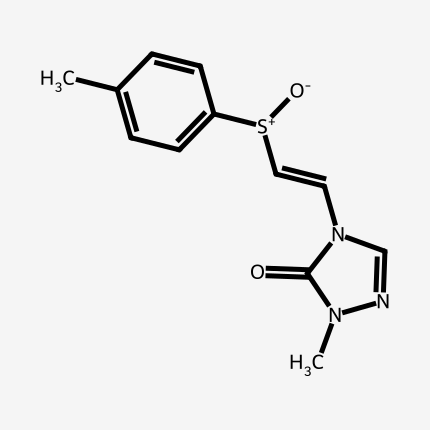 Cc1ccc([S+]([O-])/C=C/n2cnn(C)c2=O)cc1